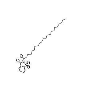 CCCCCCCCCCCCCCCCCCCCCC(=O)N1C(=O)c2ccccc2S1(=O)=O